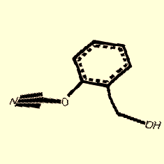 N#COc1ccccc1CO